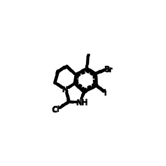 Cc1c(Br)c(I)c2c3c1CCCN3C(Cl)N2